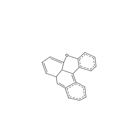 C1=CC2C=c3ccccc3=C3c4ccccc4OC(=C1)C32